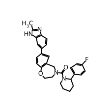 Cc1nc2ccc(-c3ccc4c(c3)CN(C(=O)N3CCCCC3c3ccc(F)cc3)CCO4)cc2[nH]1